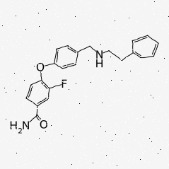 NC(=O)c1ccc(Oc2ccc(CNCCc3ccccc3)cc2)c(F)c1